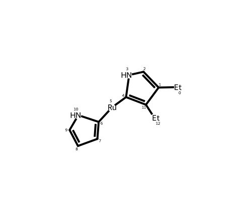 CCc1c[nH][c]([Ru][c]2ccc[nH]2)c1CC